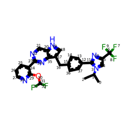 CC(C)n1cc(C(F)(F)F)nc1-c1ccc(Cc2c[nH]c3cnc(-c4cccnc4OC(F)F)nc23)cc1